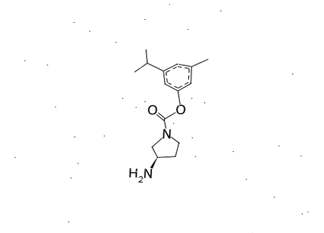 Cc1cc(OC(=O)N2CC[C@@H](N)C2)cc(C(C)C)c1